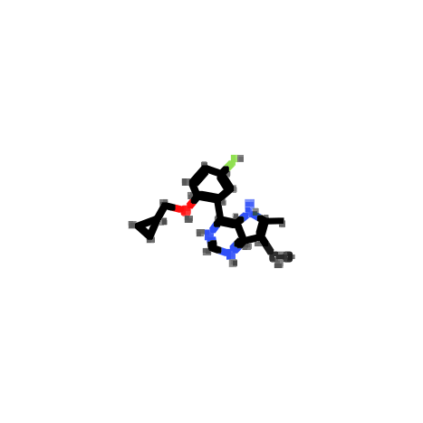 Cc1[nH]c2c(-c3cc(F)ccc3OCC3CC3)ncnc2c1[C]=O